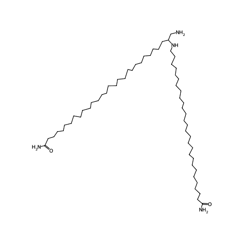 NCC(CCCCCCCCCCCCCCCCCCCCCCCCCCCC(N)=O)NCCCCCCCCCCCCCCCCCCCCCCCCCCCC(N)=O